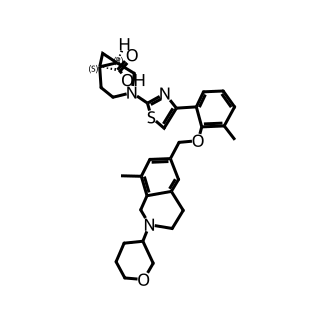 Cc1cc(COc2c(C)cccc2-c2csc(N3CC[C@@]4(C(=O)O)C[C@H]4C3)n2)cc2c1CN(C1CCCOC1)CC2